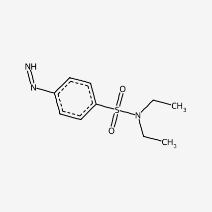 CCN(CC)S(=O)(=O)c1ccc(N=N)cc1